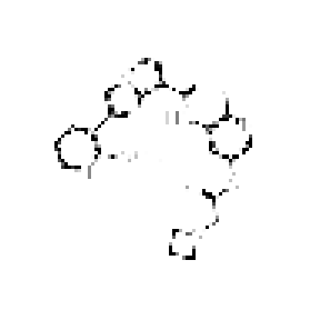 COc1ncccc1-c1cn2ncc(C(=O)Nc3cc(NC(=O)CN4CCC4)cnc3C)c2s1